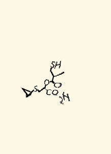 C[C@H](CS)C(=O)O[C@@H](CSC1CC1)C(=O)O